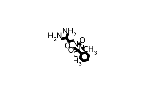 CN1C(=O)N(CC(=O)C(CN)CN)C(=O)C1(C)C1CCCCC1